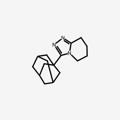 C1CCn2c(nnc2C23CC4CC(CC(C4)C2)C3)C1